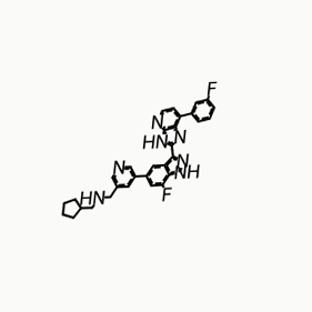 Fc1cccc(-c2ccnc3[nH]c(-c4n[nH]c5c(F)cc(-c6cncc(CNCC7CCCC7)c6)cc45)nc23)c1